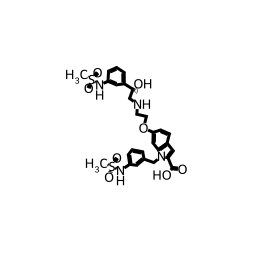 CS(=O)(=O)Nc1cccc(Cn2c(C(=O)O)cc3ccc(OCCNC[C@H](O)c4cccc(NS(C)(=O)=O)c4)cc32)c1